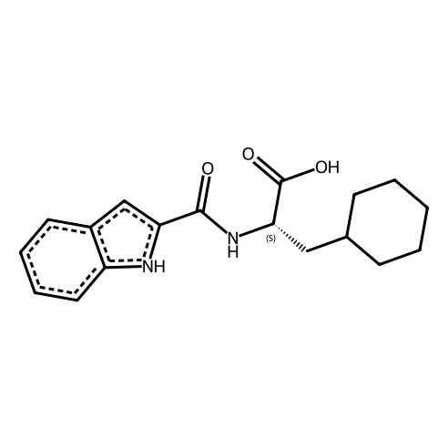 O=C(N[C@@H](CC1CCCCC1)C(=O)O)c1cc2ccccc2[nH]1